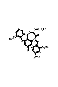 CCOC(=O)C[C@H]1O[C@H](c2cccc(OC)c2OC)c2ccc(F)cc2N(Cc2ccc(OC)cc2OC)C1=O